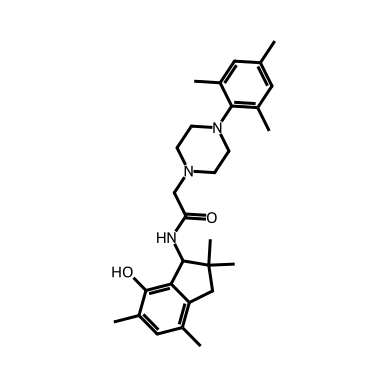 Cc1cc(C)c(N2CCN(CC(=O)NC3c4c(O)c(C)cc(C)c4CC3(C)C)CC2)c(C)c1